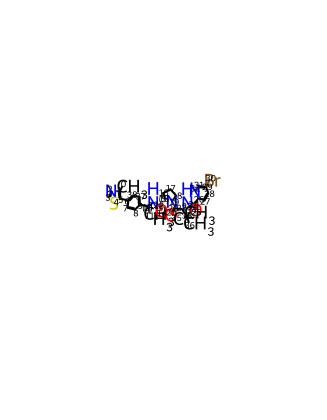 Cc1ncsc1-c1ccc([C@H](C)NC(=O)[C@@H]2CCCN2C(=O)C(NC(=O)c2ccc(Br)cn2)C(C)(C)C)cc1